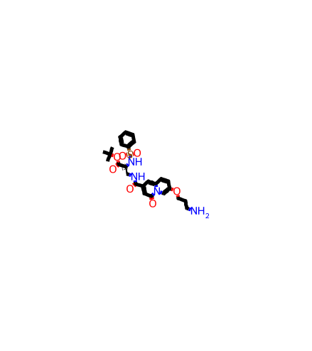 CC(C)(C)OC(=O)[C@H](CNC(=O)c1cc(=O)n2cc(OCCCN)ccc2c1)NS(=O)(=O)c1ccccc1